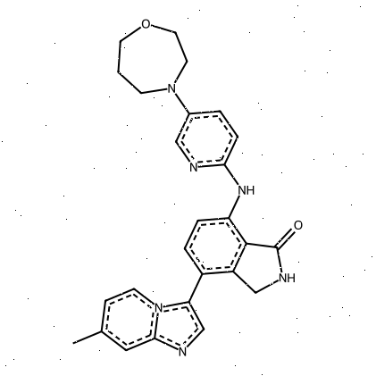 Cc1ccn2c(-c3ccc(Nc4ccc(N5CCCOCC5)cn4)c4c3CNC4=O)cnc2c1